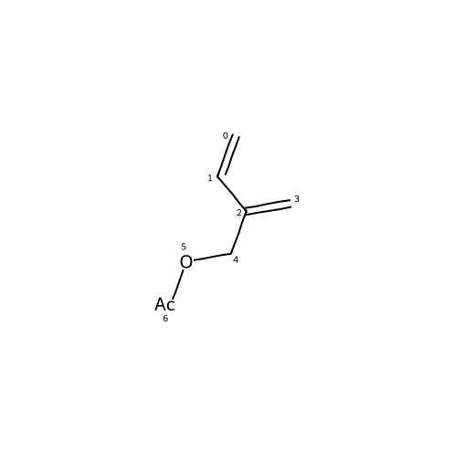 C=CC(=C)COC(C)=O